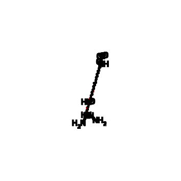 NCCCCNCC(CCCCCCNC(=O)CCCCCCCCCCCCCCCCCCCCCCCNC(=O)CCCN1C(=O)C=CC1=O)CNCCCCN